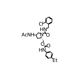 CCc1ccc(NC(=O)OC[C@@H]2C[C@@H](NC(C)=O)CN2C(=O)NCc2ccccc2Cl)cc1